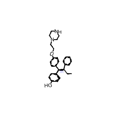 CC/C(=C(\c1ccc(O)cc1)c1ccc(OCCN2CCNCC2)cc1)c1ccccc1